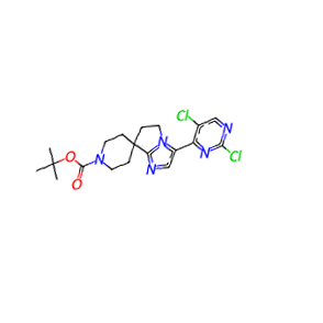 CC(C)(C)OC(=O)N1CCC2(CC1)CCn1c(-c3nc(Cl)ncc3Cl)cnc12